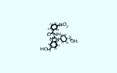 O=C(Nc1nc2cc(CO)ccc2n1[C@H]1CC[C@@H](CO)CC1)c1cccc([N+](=O)[O-])c1